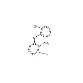 Nc1cccc(Oc2ccccc2Cl)c1[N+](=O)[O-]